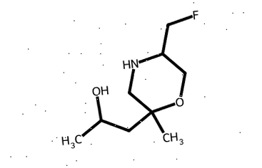 CC(O)CC1(C)CNC(CF)CO1